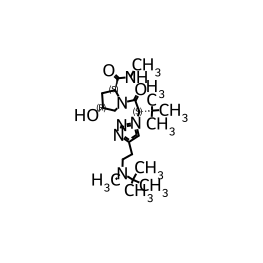 CNC(=O)[C@@H]1C[C@@H](O)CN1C(=O)[C@@H](n1cc(CCN(C)C(C)(C)C)nn1)C(C)(C)C